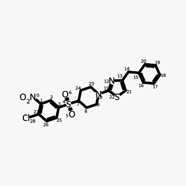 O=[N+]([O-])c1cc(S(=O)(=O)C2CCN(c3nc(Cc4ccccc4)cs3)CC2)ccc1Cl